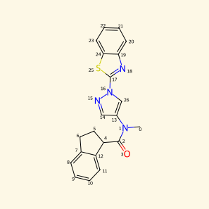 CN(C(=O)C1CCc2ccccc21)c1cnn(-c2nc3ccccc3s2)c1